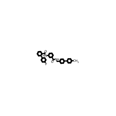 Cc1ccc(-c2ccc(CNC(=O)c3cccc(NC(=O)c4ccccc4-c4ccc(F)cc4)c3)cc2)cc1